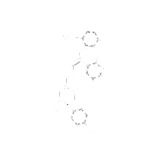 CSc1cccc2c1C/C(=C/CCN1CCC(O)(c3ccc(Cl)cc3)CC1)c1cccnc1O2